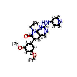 CC(C)Cn1c(=O)c(-c2cc(OC(C)C)cc(OC(C)C)c2)cc2cnc(Nc3ccncc3)nc21